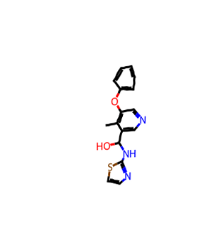 Cc1c(Oc2ccccc2)cncc1C(O)Nc1nccs1